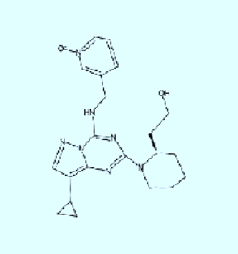 [O-][n+]1cccc(CNc2nc(N3CCCC[C@@H]3CCO)nc3c(C4CC4)cnn23)c1